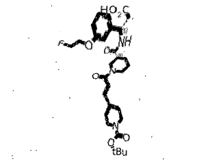 CC(C)(C)OC(=O)N1CCC(CCC(=O)N2CCC[C@@H](C(=O)N[C@@H](CC(=O)O)c3cccc(OCCF)c3)C2)CC1